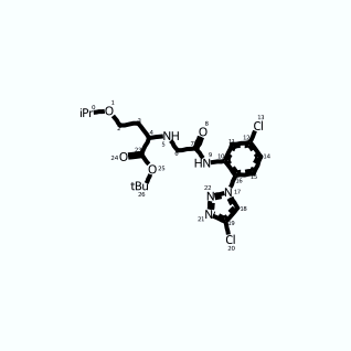 CC(C)OCCC(NCC(=O)Nc1cc(Cl)ccc1-n1cc(Cl)nn1)C(=O)OC(C)(C)C